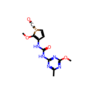 COC1=C(NC(=O)Nc2nc(C)nc(OC)n2)C=CS1=C=O